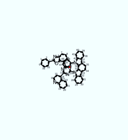 c1ccc(-c2nc3cccc(-c4nc(-c5ccnc6ccccc56)nc(-n5c6ccccc6c6ccc7c8ccccc8n(-c8ccccc8)c7c65)n4)c3o2)cc1